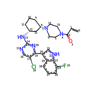 C=CC(=O)N1CCN([C@H]2CCC[C@@H](Nc3ncc(Cl)c(-c4c[nH]c5c(F)cccc45)n3)C2)CC1